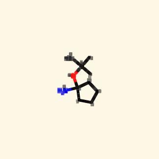 CCCC[Si](C)(C)OC1(N)CCCC1